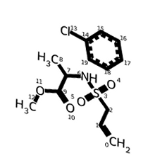 C=CCS(=O)(=O)NC(C)C(=O)OC.Clc1ccccc1